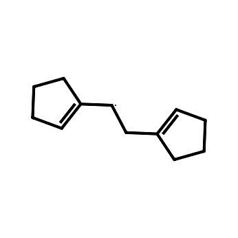 [CH](CC1=CCCC1)C1=CCCC1